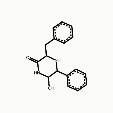 CC1NC(=O)C(Cc2ccccc2)NC1c1ccccc1